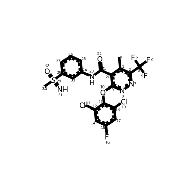 Cc1c(C(F)(F)F)nnc(Oc2c(Cl)cc(F)cc2Cl)c1C(=O)Nc1cccc(S(C)(=N)=O)c1